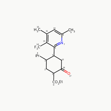 CCOC(=O)C1CC(C(C)C)C(c2nc(C)cc(C)c2C(F)(F)F)CC1=O